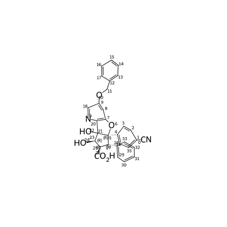 N#Cc1ccc([C@@]23Oc4cc(OCc5ccccc5)cnc4C2(O)[C@H](O)[C@H](C(=O)O)[C@H]3c2ccccc2)cc1